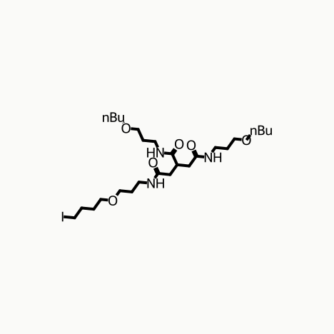 CCCCOCCCNC(=O)CC(CC(=O)NCCCOCCCCI)C(=O)NCCCOCCCC